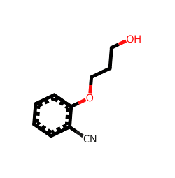 N#Cc1ccccc1OCCCO